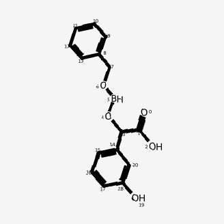 O=C(O)C(OBOCc1ccccc1)c1cccc(O)c1